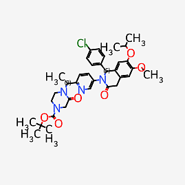 COc1cc2c(cc1OC(C)C)[C@H](c1ccc(Cl)cc1)N(c1ccc([C@@H](C)N3CCN(C(=O)OC(C)(C)C)CC3=O)nc1)C(=O)C2